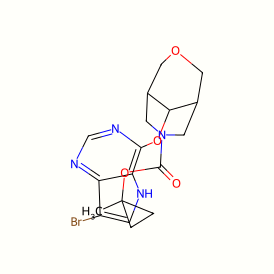 CC1(OC(=O)N2CC3COCC(C2)C3Oc2ncnc3c(Br)c[nH]c23)CC1